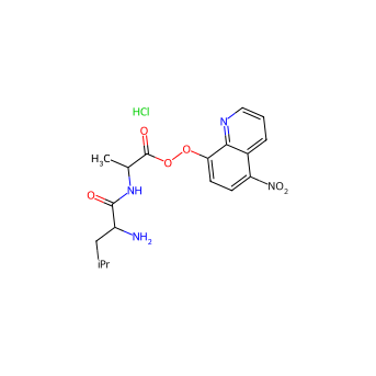 CC(C)CC(N)C(=O)NC(C)C(=O)OOc1ccc([N+](=O)[O-])c2cccnc12.Cl